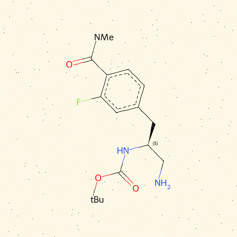 CNC(=O)c1ccc(C[C@@H](CN)NC(=O)OC(C)(C)C)cc1F